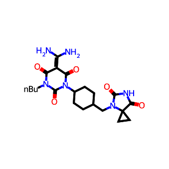 CCCCN1C(=O)C(=C(N)N)C(=O)N(C2CCC(CN3C(=O)NC(=O)C34CC4)CC2)C1=O